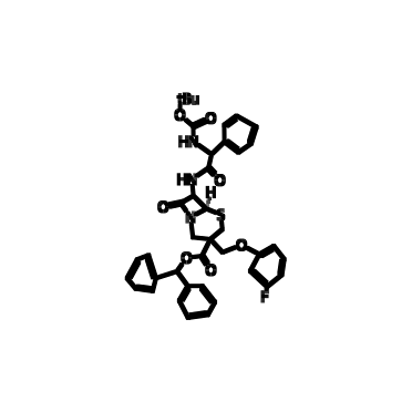 CC(C)(C)OC(=O)NC(C(=O)NC1C(=O)N2CC(COc3cccc(F)c3)(C(=O)OC(c3ccccc3)c3ccccc3)CS[C@H]12)c1ccccc1